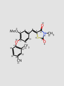 COc1cc(/C=C2\SC(=O)N(C)C2=O)ccc1Oc1ccc(C#N)cc1C(F)(F)F